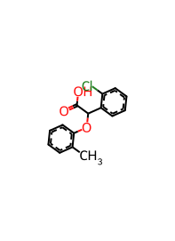 Cc1ccccc1OC(C(=O)O)c1ccccc1Cl